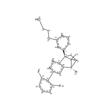 CC1(C)[C@H]2CC[C@@]1(c1ccnc(OCCO)n1)c1nnc(-c3c(F)cccc3F)cc12